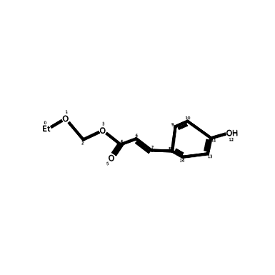 CCOCOC(=O)/C=C/c1ccc(O)cc1